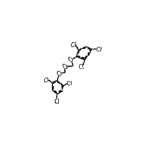 Clc1cc(Cl)c(OCOCOc2c(Cl)cc(Cl)cc2Cl)c(Cl)c1